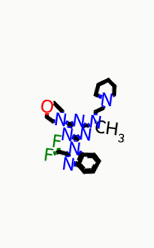 CN(CCN1CCCCC1)c1nc(N2CCOCC2)nc(-n2c(C(F)F)nc3ccccc32)n1